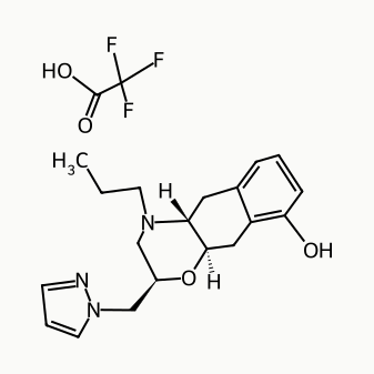 CCCN1C[C@H](Cn2cccn2)O[C@@H]2Cc3c(O)cccc3C[C@H]21.O=C(O)C(F)(F)F